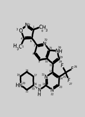 Cc1noc(C)c1-c1ccc2c(-c3nc(N[C@H]4CCCNC4)ncc3C(F)(F)F)c[nH]c2n1